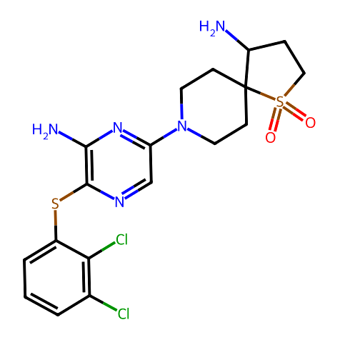 Nc1nc(N2CCC3(CC2)C(N)CCS3(=O)=O)cnc1Sc1cccc(Cl)c1Cl